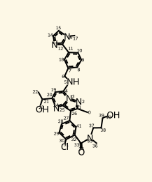 Cc1nn2c(NCc3cccc(-c4nccn4C)c3)cc(C(C)O)nc2c1-c1ccc(Cl)c(C(=O)N(C)CCCO)c1